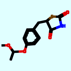 COC(C)Oc1ccc(CC2SC(=O)NC2=O)cc1